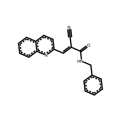 N#C/C(=C\c1ccc2ccccc2n1)C(=O)NCc1ccccc1